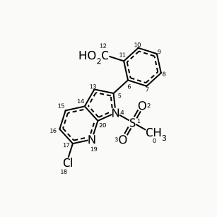 CS(=O)(=O)n1c(-c2ccccc2C(=O)O)cc2ccc(Cl)nc21